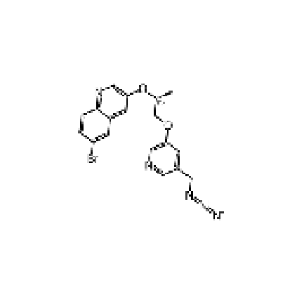 C[C@@H](COc1cncc(CN=[N+]=[N-])c1)Oc1cnc2ccc(Br)cc2c1